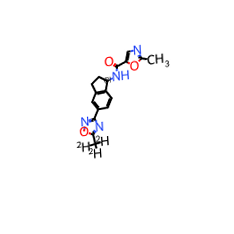 [2H]C([2H])([2H])c1nc(-c2ccc3c(c2)CC[C@H]3NC(=O)c2cnc(C)o2)no1